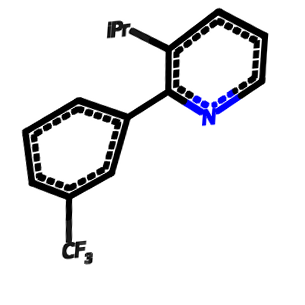 CC(C)c1cccnc1-c1cccc(C(F)(F)F)c1